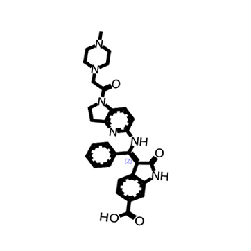 CN1CCN(CC(=O)N2CCc3nc(N/C(=C4\C(=O)Nc5cc(C(=O)O)ccc54)c4ccccc4)ccc32)CC1